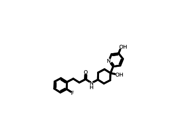 O=C(CCc1ccccc1F)NC1CCC(O)(c2ccc(O)cn2)CC1